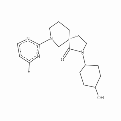 O=C1N(C2CCC(O)CC2)CC[C@]12CCCN(c1nccc(F)n1)C2